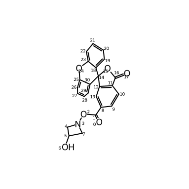 O=C(ON1CC(O)C1)c1ccc2c(c1)C1(OC2=O)c2ccccc2Oc2ccccc21